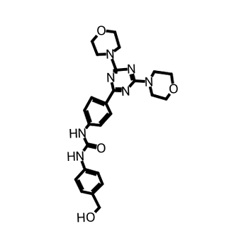 O=C(Nc1ccc(CO)cc1)Nc1ccc(-c2nc(N3CCOCC3)nc(N3CCOCC3)n2)cc1